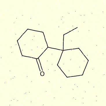 CCC1(C2CCCCC2=O)CCCCC1